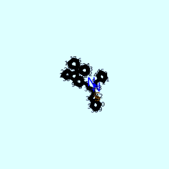 c1ccc(-c2nc(-c3ccc4c(c3)C(c3ccccc3)(c3ccccc3)c3ccccc3-4)cc(-c3cc4ccccc4s3)n2)cc1